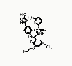 COc1cc(OCCF)c(F)c(C(Nc2ccc(-c3noc(C)n3)cc2)c2nn(-c3cccc(N)n3)c(=O)[nH]2)c1